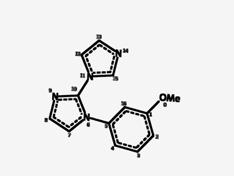 COc1cccc(-n2ccnc2-n2ccnc2)c1